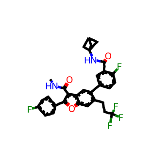 CNC(=O)c1c(-c2ccc(F)cc2)oc2cc(CCC(F)(F)F)c(-c3ccc(F)c(C(=O)NC45CC(C4)C5)c3)cc12